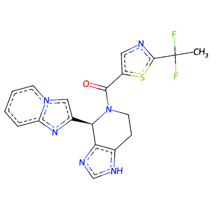 CC(F)(F)c1ncc(C(=O)N2CCc3[nH]cnc3[C@H]2c2cn3ccccc3n2)s1